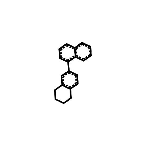 c1ccc2c(-c3ccc4c(c3)CCCC4)cccc2c1